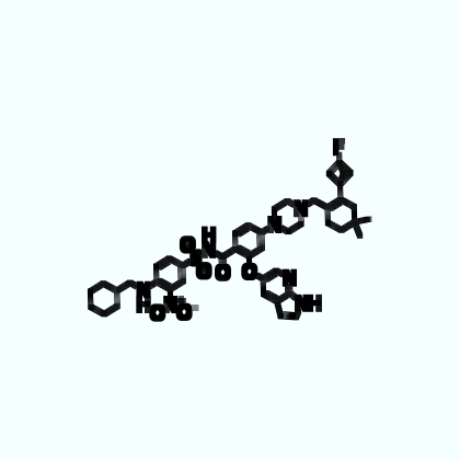 CC1(C)CCC(CN2CCN(c3ccc(C(=O)NS(=O)(=O)c4ccc(NCC5CCCCC5)c([N+](=O)[O-])c4)c(Oc4cnc5[nH]ccc5c4)c3)CC2)=C(C23CC(F)(C2)C3)C1